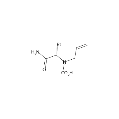 C=CCN(C(=O)O)[C@@H](CC)C(N)=O